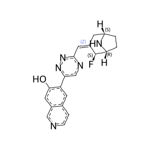 Oc1cc2cnccc2cc1-c1cnc(/C=C2/C[C@@H]3CC[C@@H](N3)[C@H]2F)nn1